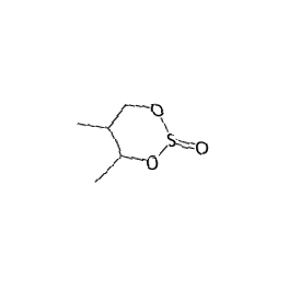 CC1COS(=O)OC1C